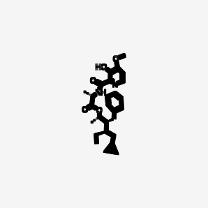 CC[C@H](CC1CC1)[C@@H](Cc1ccccc1)[C@H](C)OC(=O)[C@H](C)NC(=O)c1nccc(OC)c1O